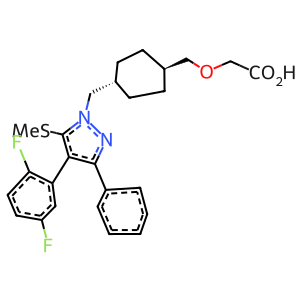 CSc1c(-c2cc(F)ccc2F)c(-c2ccccc2)nn1C[C@H]1CC[C@H](COCC(=O)O)CC1